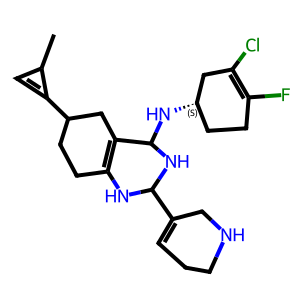 CC1C=C1C1CCC2=C(C1)C(N[C@H]1CCC(F)=C(Cl)C1)NC(C1=CCCNC1)N2